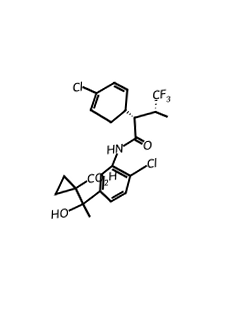 C[C@H]([C@H](C(=O)Nc1cc(C(C)(O)C2(C(=O)O)CC2)ccc1Cl)C1C=CC(Cl)=CC1)C(F)(F)F